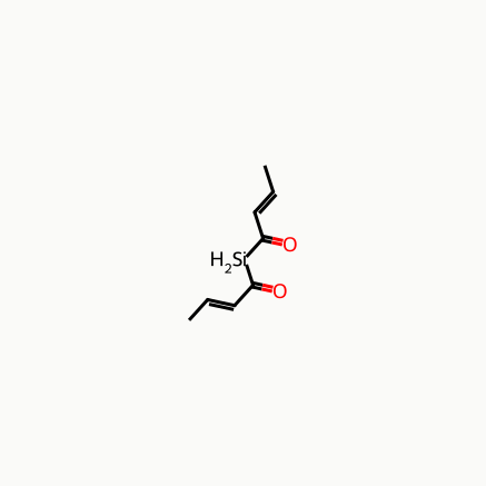 CC=CC(=O)[SiH2]C(=O)C=CC